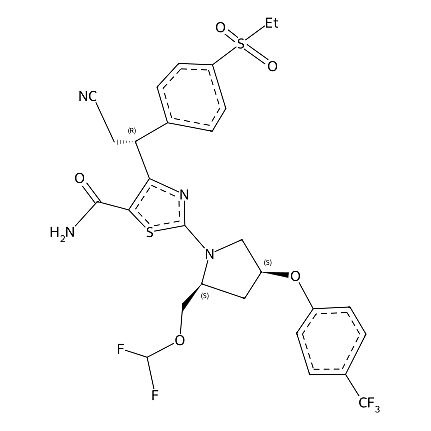 CCS(=O)(=O)c1ccc([C@@H](CC#N)c2nc(N3C[C@@H](Oc4ccc(C(F)(F)F)cc4)C[C@H]3COC(F)F)sc2C(N)=O)cc1